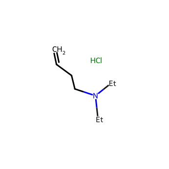 C=CCCN(CC)CC.Cl